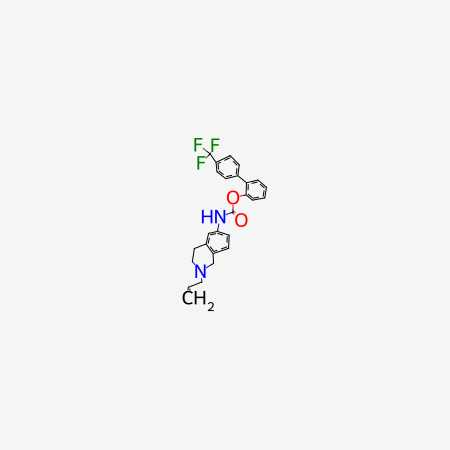 C=CCN1CCc2cc(NC(=O)Oc3ccccc3-c3ccc(C(F)(F)F)cc3)ccc2C1